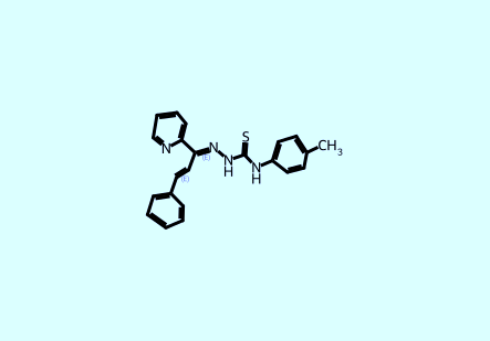 Cc1ccc(NC(=S)N/N=C(\C=C\c2ccccc2)c2ccccn2)cc1